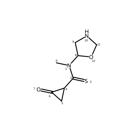 CN(C(=S)C1CC1=O)C1CNCO1